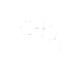 CNC1=CC(F)C(C2CNCCO2)([N+](=O)[O-])C=C1